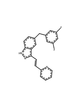 Fc1cc(F)cc(Cc2ccc3[nH]nc(C=Cc4ccccn4)c3c2)c1